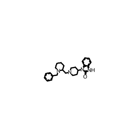 O=c1[nH]c2ccccc2n1C1CCN(CC2CCCCN2Cc2ccccc2)CC1